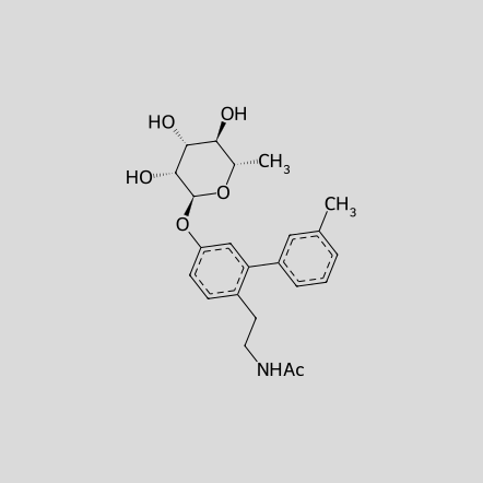 CC(=O)NCCc1ccc(O[C@@H]2O[C@@H](C)[C@H](O)[C@@H](O)[C@H]2O)cc1-c1cccc(C)c1